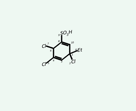 CCC1(Cl)C=C(Cl)C(Cl)C(S(=O)(=O)O)=C1